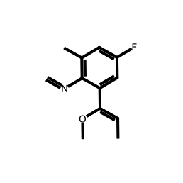 C=Nc1c(C)cc(F)cc1/C(=C/C)OC